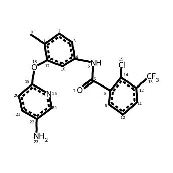 Cc1ccc(NC(=O)c2cccc(C(F)(F)F)c2Cl)cc1Oc1ccc(N)cn1